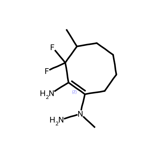 CC1CCCC/C(N(C)N)=C(/N)C1(F)F